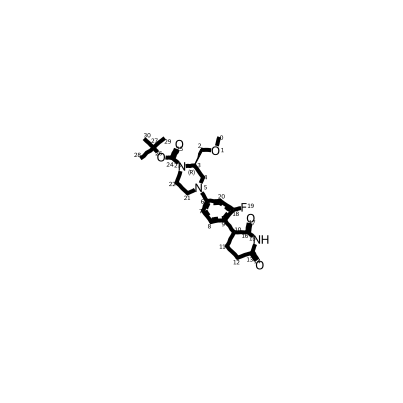 COC[C@H]1CN(c2ccc(C3CCC(=O)NC3=O)c(F)c2)CCN1C(=O)OC(C)(C)C